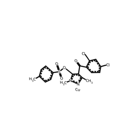 Cc1ccc(S(=O)(=O)Oc2c(C(=O)c3ccc(Cl)cc3Cl)c(C)nn2C)cc1.[Cu]